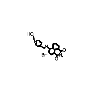 CN1C(=O)c2cccc3c(N=Cc4cc[n+](CCO)cc4)ccc(c23)C1=O.[Br-]